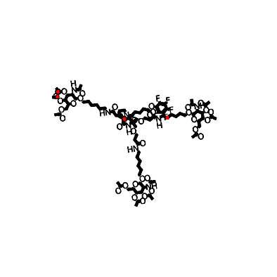 CC(=O)NC1C(OCCCCCCNC(=O)CCOCC(COCCC(=O)NCCCCCCOC2OC(COC(C)=O)C(OC(C)=O)C(OC(C)=O)C2NC(C)=O)(COCCC(=O)NCCCCCCOC2OC(COC(C)=O)C(OC(C)=O)C(OC(C)=O)C2NC(C)=O)NC(=O)C2CCCN2C(=O)CCCC(=O)Oc2c(F)c(F)c(F)c(F)c2F)OC(COC(C)=O)C(OC(C)=O)C1OC(C)=O